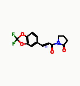 O=C(/C=C/c1ccc2c(c1)OC(F)(F)O2)N1CCCC1=O